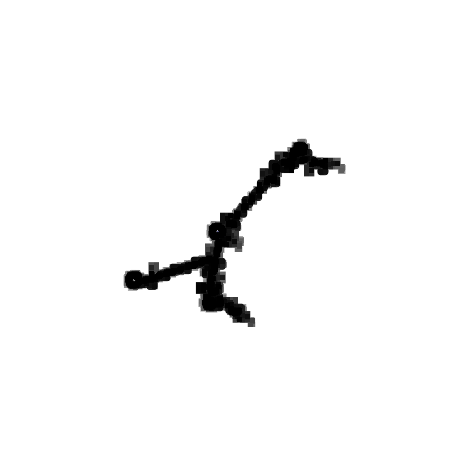 NC(=O)COCNC(=O)CNC(=O)[C@H](Cc1ccccc1)NC(=O)CNC(=O)CNC(=O)CCOCCOCCOCCOCCNC(=O)COC1CCCCC/C(N(N)CCCC[C@@H](NC(=O)CCOCCOCCOCCOCCNC(=O)COC2C#CCCCCC2)C(=O)NCC(=O)NCC(=O)N[C@@H](Cc2ccccc2)C(=O)NCC(=O)NCOCC(N)=O)=C\1N